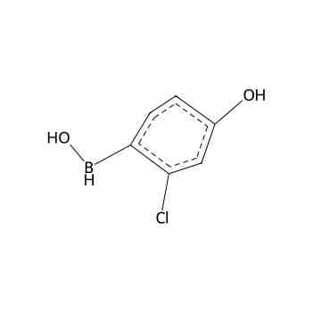 OBc1ccc(O)cc1Cl